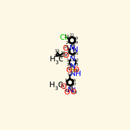 COc1cc(CNS(=O)(=O)N2CCN(c3cnn(-c4cccc(Cl)c4)c(=O)c3OCC3(C)CC3)CC2)ccc1[N+](=O)[O-]